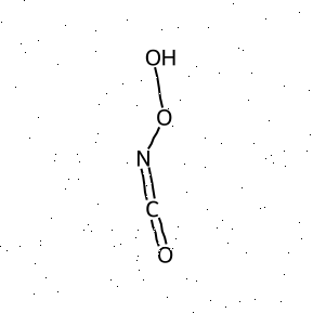 O=C=NOO